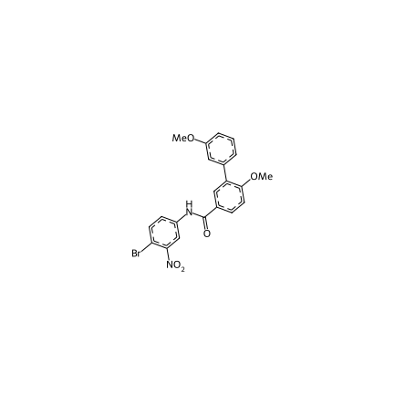 COc1cccc(-c2cc(C(=O)Nc3ccc(Br)c([N+](=O)[O-])c3)ccc2OC)c1